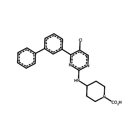 O=C(O)N1CCC(Nc2ncc(Cl)c(-c3cccc(-c4ccccc4)c3)n2)CC1